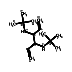 C=CC(NC(C)(C)C)C(C=C)NC(C)(C)C